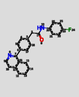 O=C(Cc1ccc(-c2nccc3ccccc23)cc1)Nc1ccc(F)cc1